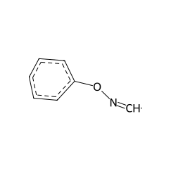 [CH]=NOc1ccccc1